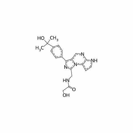 CC(C)(O)c1ccc(-c2nc(CNC(=O)CO)n3c2cnc2[nH]ccc23)cc1